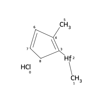 Cl.[CH3][Hf][C]1=C(C)C=CC1